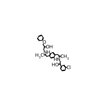 C[C@H](Cc1ccc(C[C@@H](C)NC[C@H](O)c2cccc(Cl)c2)cc1)NC[C@H](O)COc1ccccc1